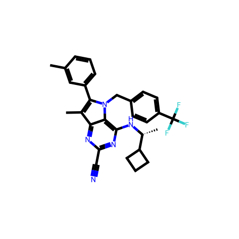 Cc1cccc(-c2c(C)c3nc(C#N)nc(N[C@H](C)C4CCC4)c3n2Cc2ccc(C(F)(F)F)cc2)c1